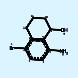 Nc1ccc(Br)c2c1C(O)CCC2